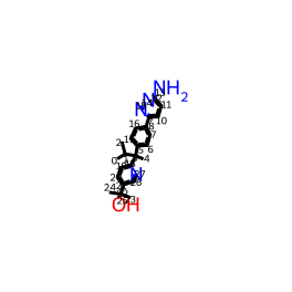 CC(C)C(C)(c1ccc(-c2ccc(N)nn2)cc1)c1ccc(C(C)(C)O)cn1